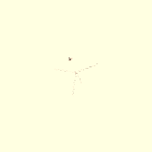 CCCCCCCCCCCC[N+](CCCCCC)(CCCCCCCCCCCC)CCCCCCCCCCCC.O=[N+]([O-])[O-]